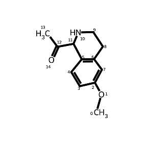 COc1ccc2c(c1)CCNC2C(C)=O